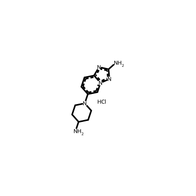 Cl.Nc1nc2ccc(N3CCC(N)CC3)cn2n1